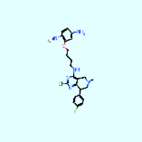 [C-]#[N+]c1ccc(N)cc1OCCCCNc1nc(Cl)nc2c1CN(C)CC2c1ccc(F)cc1